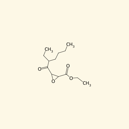 CCCCC(CC)C(=O)C1OC1C(=O)OCC